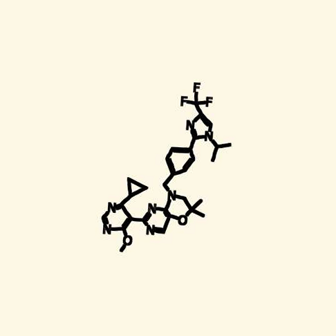 COc1ncnc(C2CC2)c1-c1ncc2c(n1)N(Cc1ccc(-c3nc(C(F)(F)F)cn3C(C)C)cc1)CC(C)(C)O2